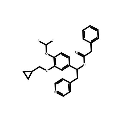 O=C(Cc1ccccc1)OC(Cc1ccncc1)c1ccc(OC(F)F)c(OCC2CC2)c1